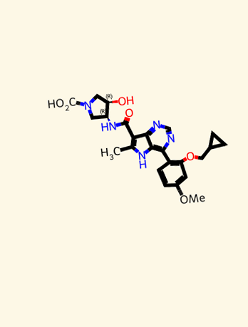 COc1ccc(-c2ncnc3c(C(=O)N[C@@H]4CN(C(=O)O)C[C@H]4O)c(C)[nH]c23)c(OCC2CC2)c1